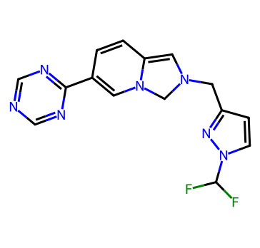 FC(F)n1ccc(CN2C=C3C=CC(c4ncncn4)=CN3C2)n1